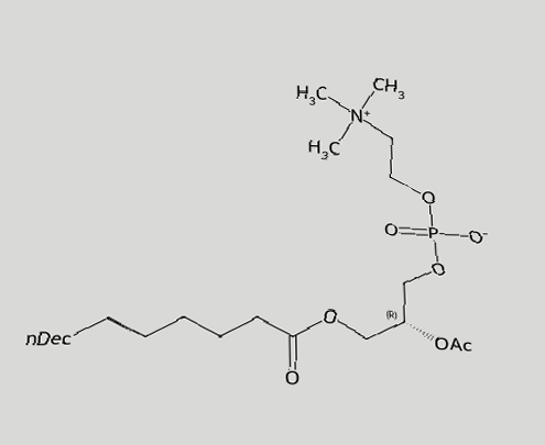 CCCCCCCCCCCCCCCC(=O)OC[C@H](COP(=O)([O-])OCC[N+](C)(C)C)OC(C)=O